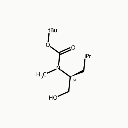 CC(C)C[C@@H](CO)N(C)C(=O)OC(C)(C)C